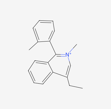 CCc1c[n+](C)c(-c2ccccc2C)c2ccccc12